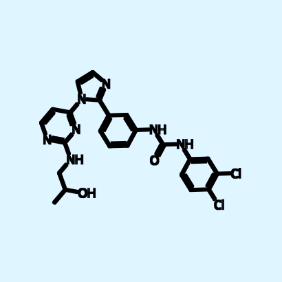 CC(O)CNc1nccc(-n2ccnc2-c2cccc(NC(=O)Nc3ccc(Cl)c(Cl)c3)c2)n1